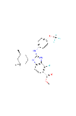 COC(=O)c1ccc2c(nc(Nc3ccc(OC(F)(F)F)cc3)n2C2C[C@H](C)CC(C)(C)C2)c1F